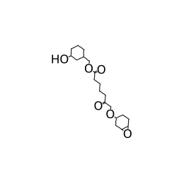 O=C(CCCCC(=O)OCC1CCCC(O)C1)COC1CCC2OC2C1